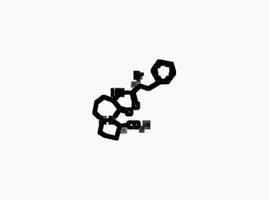 O=C(NC1CCCN2CCC[C@H](C(=O)O)N2C1=O)[C@H](Br)Cc1ccccc1